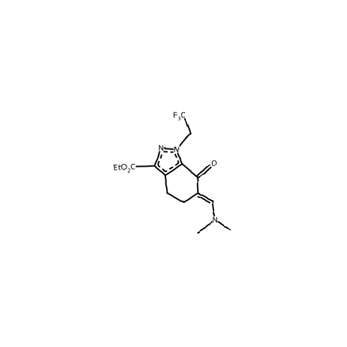 CCOC(=O)c1nn(CC(F)(F)F)c2c1CCC(=CN(C)C)C2=O